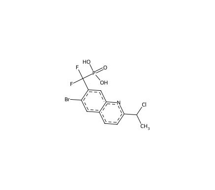 CC(Cl)c1ccc2cc(Br)c(C(F)(F)P(=O)(O)O)cc2n1